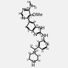 COc1c(-c2ccc3nc(Nc4cc(C(C)N5CCNCC5)ccn4)[nH]c3c2)ncnc1N(C)C